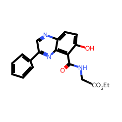 CCOC(=O)CNC(=O)c1c(O)ccc2ncc(-c3ccccc3)nc12